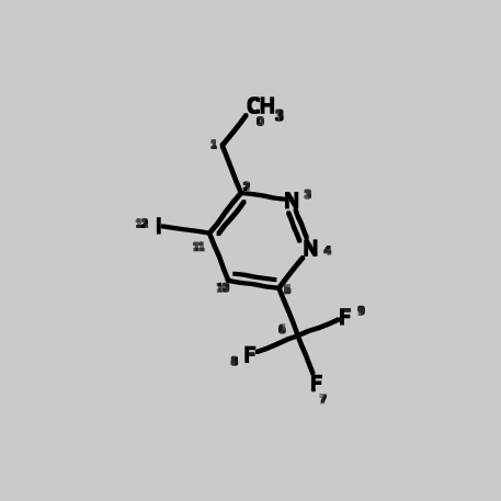 CCc1nnc(C(F)(F)F)cc1I